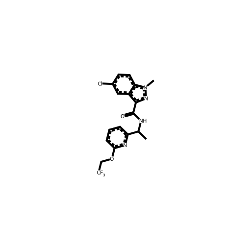 CC(NC(=O)c1nn(C)c2ccc(Cl)cc12)c1cccc(OCC(F)(F)F)n1